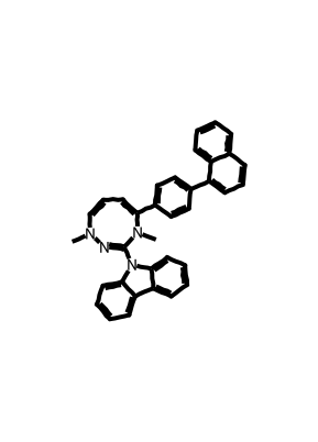 Cn1cccc(-c2ccc(-c3cccc4ccccc34)cc2)n(C)c(-n2c3ccccc3c3ccccc32)n1